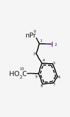 CCCC(I)Cc1ccccc1C(=O)O